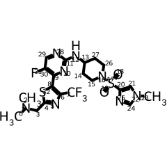 CN(C)Cc1nc(C(F)(F)F)c(-c2nc(NC3CCN(S(=O)(=O)c4cn(C)cn4)CC3)ncc2F)s1